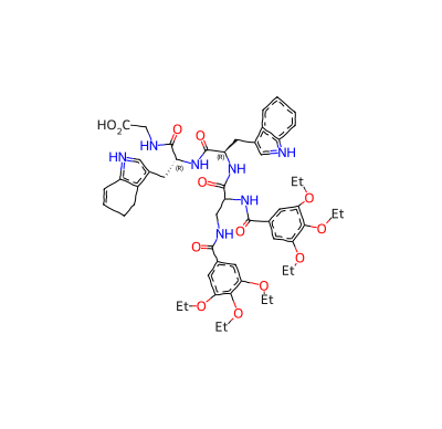 CCOc1cc(C(=O)NCC(NC(=O)c2cc(OCC)c(OCC)c(OCC)c2)C(=O)N[C@H](Cc2c[nH]c3ccccc23)C(=O)N[C@H](Cc2c[nH]c3c2CCC=C3)C(=O)NCC(=O)O)cc(OCC)c1OCC